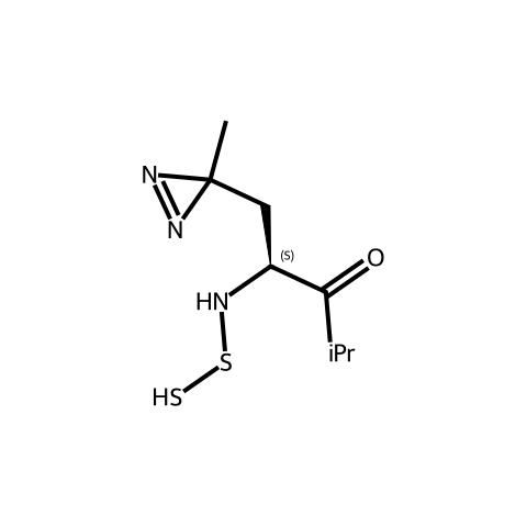 CC(C)C(=O)[C@H](CC1(C)N=N1)NSS